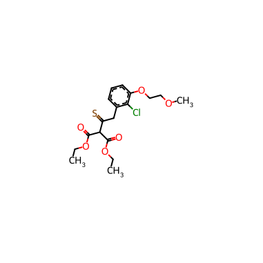 CCOC(=O)C(C(=O)OCC)C(=S)Cc1cccc(OCCOC)c1Cl